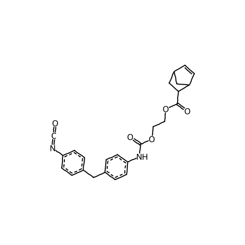 O=C=Nc1ccc(Cc2ccc(NC(=O)OCCOC(=O)C3CC4C=CC3C4)cc2)cc1